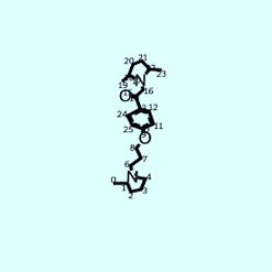 CC1CCCN1CCCOc1ccc(C(=O)CN2C(C)CCC2C)cc1